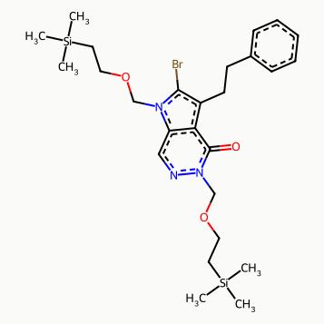 C[Si](C)(C)CCOCn1ncc2c(c(CCc3ccccc3)c(Br)n2COCC[Si](C)(C)C)c1=O